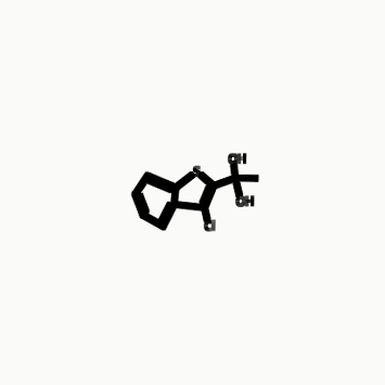 CC(O)(O)c1sc2ccccc2c1Cl